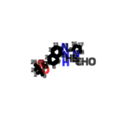 CC1(C)OB(c2ccc3c(ccc4nc([C@@H]5CCCN5BC=O)[nH]c43)c2)OC1(C)C